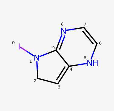 IN1CC=C2NC=CN=C21